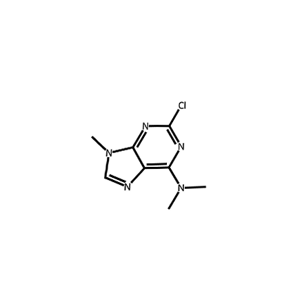 CN(C)c1nc(Cl)nc2c1ncn2C